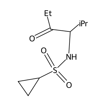 CCC(=O)C(NS(=O)(=O)C1CC1)C(C)C